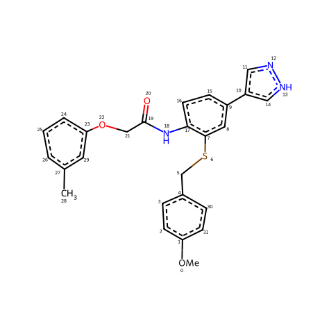 COc1ccc(CSc2cc(-c3cn[nH]c3)ccc2NC(=O)COc2cccc(C)c2)cc1